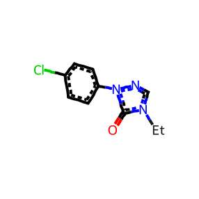 CCn1cnn(-c2ccc(Cl)cc2)c1=O